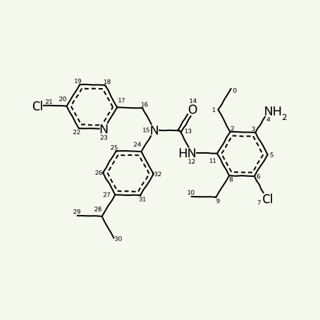 CCc1c(N)cc(Cl)c(CC)c1NC(=O)N(Cc1ccc(Cl)cn1)c1ccc(C(C)C)cc1